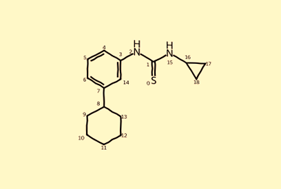 S=C(Nc1cccc(C2CCCCC2)c1)NC1CC1